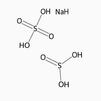 O=S(=O)(O)O.O=S(O)O.[NaH]